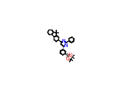 CC1(C)c2ccccc2-c2ccc(-c3cc(-c4cccc(B5OC(C)(C)C(C)(C)O5)c4)nc(-c4ccccc4)n3)cc21